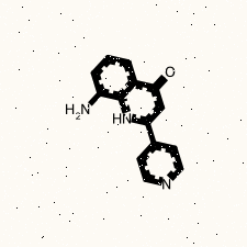 Nc1cccc2c(=O)cc(-c3ccncc3)[nH]c12